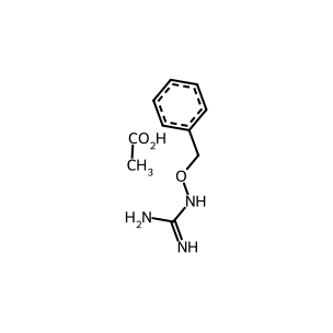 CC(=O)O.N=C(N)NOCc1ccccc1